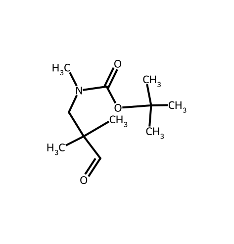 CN(CC(C)(C)C=O)C(=O)OC(C)(C)C